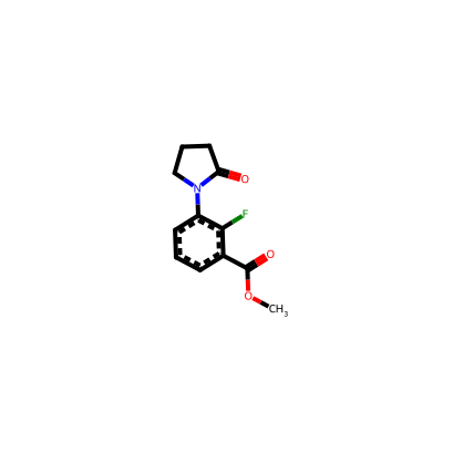 COC(=O)c1cccc(N2CCCC2=O)c1F